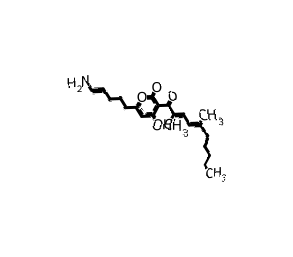 CCCCC/C(C)=C/C=C(\C)C(=O)c1c(O)cc(CCC/C=C/N)oc1=O